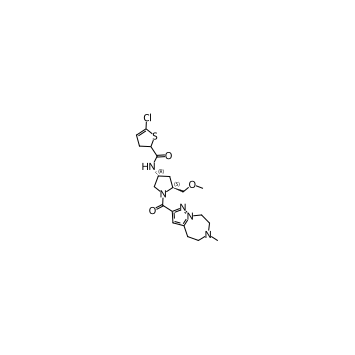 COC[C@@H]1C[C@@H](NC(=O)C2CC=C(Cl)S2)CN1C(=O)c1cc2n(n1)CCN(C)CC2